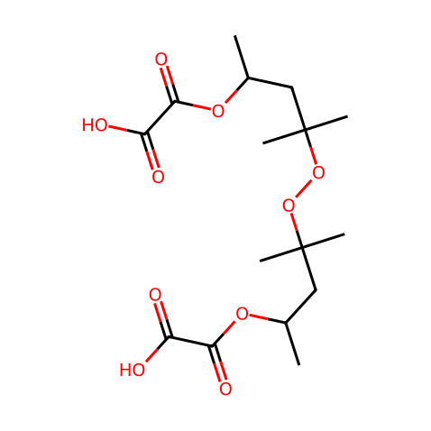 CC(CC(C)(C)OOC(C)(C)CC(C)OC(=O)C(=O)O)OC(=O)C(=O)O